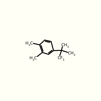 Cc1ccc(C(C)(C)C(F)(F)F)cc1C